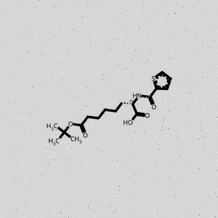 CC(C)(C)OC(=O)CCCCC[C@H](NC(=O)c1cccs1)C(=O)O